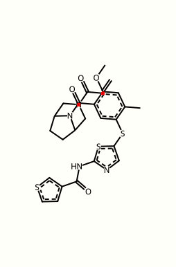 C=CC(=O)N1CC2CCC(C1)N2C(=O)c1cc(Sc2cnc(NC(=O)c3ccsc3)s2)c(C)cc1OC